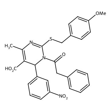 COc1ccc(CSC2=NC(C)=C(C(=O)O)C(c3cccc([N+](=O)[O-])c3)N2C(=O)Cc2ccccc2)cc1